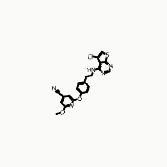 COc1cc(C#N)cc(Oc2ccc(CCNc3ncnc4scc(Cl)c34)cc2)n1